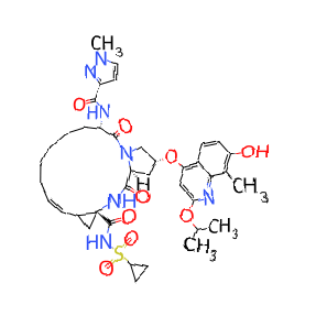 Cc1c(O)ccc2c(O[C@@H]3C[C@H]4C(=O)N[C@]5(C(=O)NS(=O)(=O)C6CC6)CC5/C=C\CCCCC[C@H](NC(=O)c5ccn(C)n5)C(=O)N4C3)cc(OC(C)C)nc12